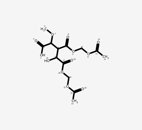 COC(C(=O)O)C(C(=O)OCOC(C)=O)C(O)C(=O)OCOC(C)=O